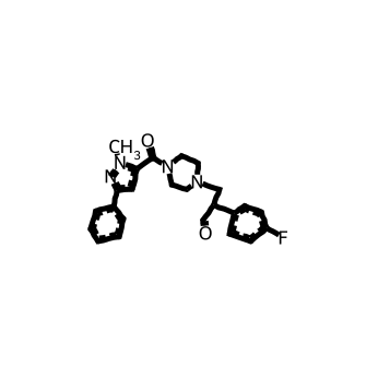 Cn1nc(-c2ccccc2)cc1C(=O)N1CCN(CC(C=O)c2ccc(F)cc2)CC1